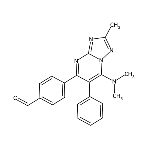 Cc1nc2nc(-c3ccc(C=O)cc3)c(-c3ccccc3)c(N(C)C)n2n1